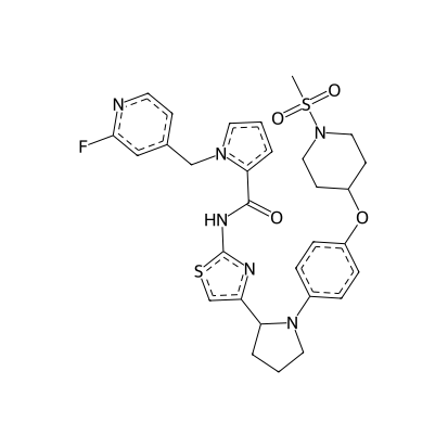 CS(=O)(=O)N1CCC(Oc2ccc(N3CCCC3c3csc(NC(=O)c4cccn4Cc4ccnc(F)c4)n3)cc2)CC1